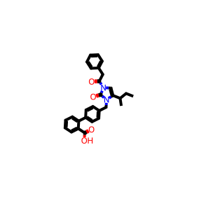 CCC(C)c1cn(C(=O)Cc2ccccc2)c(=O)n1Cc1ccc(-c2ccccc2C(=O)O)cc1